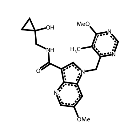 COc1cnc2c(C(=O)NCC3(O)CC3)cn(Cc3ncnc(OC)c3C)c2c1